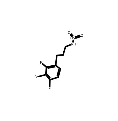 O=[SH](=O)NCCCc1ccc(F)c(Br)c1F